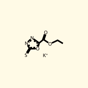 CCOC(=O)c1n[n-]c(=S)o1.[K+]